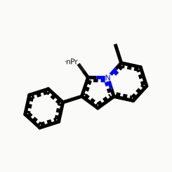 CC[CH]c1c(-c2ccccc2)cc2cccc(C)n12